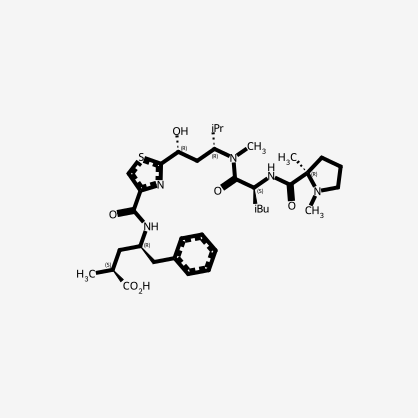 CCC(C)[C@H](NC(=O)[C@@]1(C)CCCN1C)C(=O)N(C)[C@H](C[C@@H](O)c1nc(C(=O)N[C@@H](Cc2ccccc2)C[C@H](C)C(=O)O)cs1)C(C)C